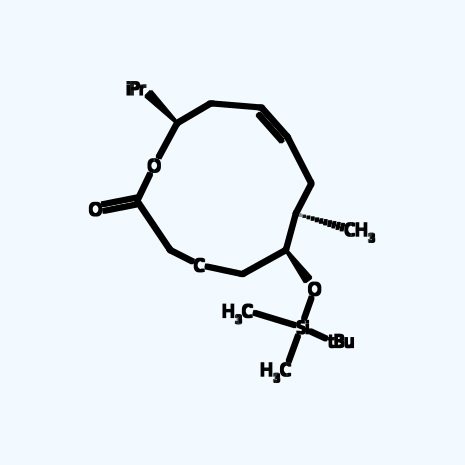 CC(C)[C@H]1CC=CC[C@H](C)[C@@H](O[Si](C)(C)C(C)(C)C)CCCC(=O)O1